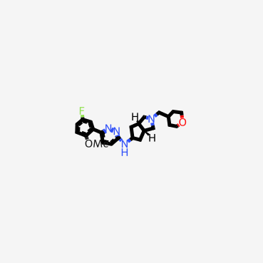 COc1ccc(F)cc1-c1ccc(NC2C[C@@H]3CN(CC4CCOCC4)C[C@@H]3C2)nn1